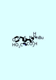 CCCCNc1nc(-c2ccc(CN3CCOCC3)s2)cs1.O=C(O)/C=C/C(=O)O